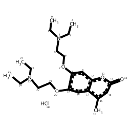 CCN(CC)CCOc1cc2oc(=O)cc(C)c2cc1OCCN(CC)CC.Cl